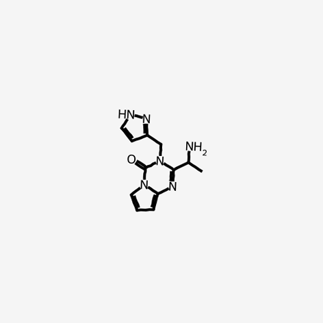 CC(N)c1nc2cccn2c(=O)n1Cc1cc[nH]n1